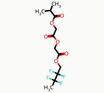 CC(C)C(=O)OCC(=O)OCC(=O)OCC(F)(F)C(C)(F)F